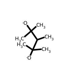 CC(C(C)(C)[O])C(C)(C)[O]